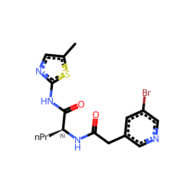 CCC[C@H](NC(=O)Cc1cncc(Br)c1)C(=O)Nc1ncc(C)s1